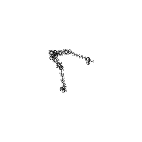 C=CC(=O)OCCCCCCCCCCCOc1ccc(-c2ccc(C(=O)O[C@@H]3CCCC[C@H]3OC(=O)c3ccc(-c4ccc(OCCCCCCCCCCCOC(=O)C=C)cc4)cc3)cc2)cc1